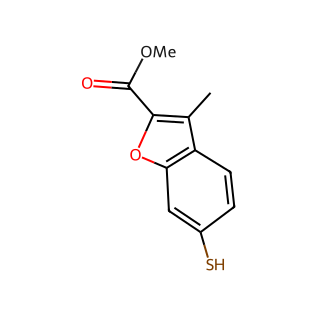 COC(=O)c1oc2cc(S)ccc2c1C